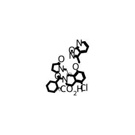 O=C(O)[C@@H]1CCCCC1C(=O)N1CCc2c(Cl)ccc(OCc3noc4ncccc34)c2[C@H]1CN1CCCC1=O